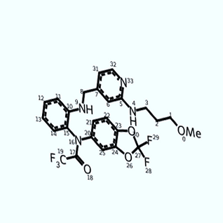 COCCCNc1cc(CNc2ccccc2N(C(=O)C(F)(F)F)c2ccc3c(c2)OC(F)(F)O3)ccn1